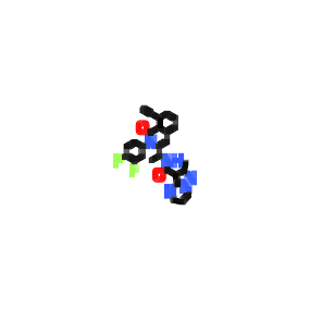 C#Cc1cccc2cc(C(C)NC(=O)c3c(C)nn4cccnc34)n(-c3ccc(F)c(F)c3)c(=O)c12